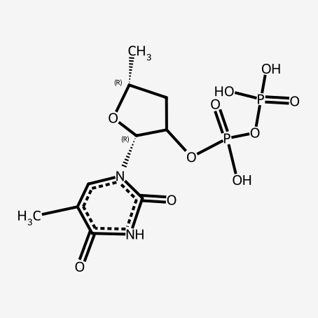 Cc1cn([C@@H]2O[C@H](C)CC2OP(=O)(O)OP(=O)(O)O)c(=O)[nH]c1=O